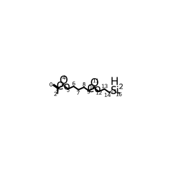 C=[C](C)[Co](=[O])[CH2]CCC[CH2][Co](=[O])[CH2]CC[SiH2]C